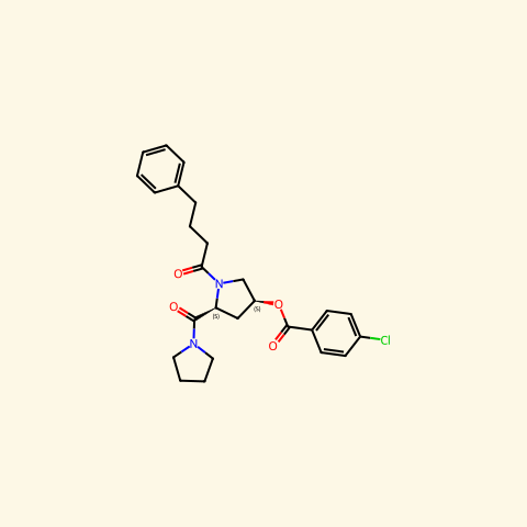 O=C(O[C@H]1C[C@@H](C(=O)N2CCCC2)N(C(=O)CCCc2ccccc2)C1)c1ccc(Cl)cc1